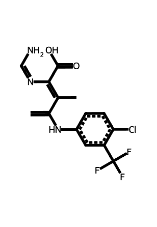 C=C(Nc1ccc(Cl)c(C(F)(F)F)c1)/C(C)=C(\N=C/N)C(=O)O